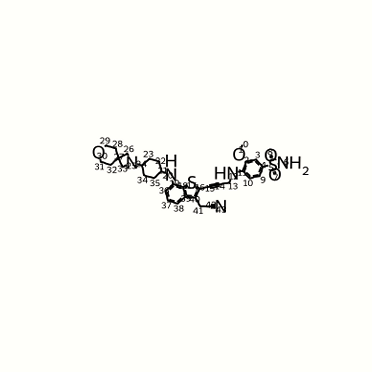 COc1cc(S(N)(=O)=O)ccc1NCC#Cc1sc2c(NC3CCC(N4CC5(CCOCC5)C4)CC3)cccc2c1CC#N